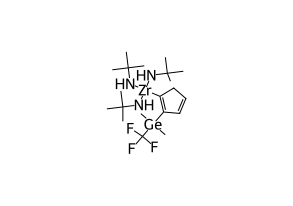 CC(C)(C)[NH][Zr]([NH]C(C)(C)C)([NH]C(C)(C)C)[C]1=[C]([Ge]([CH3])([CH3])[C](F)(F)F)C=CC1